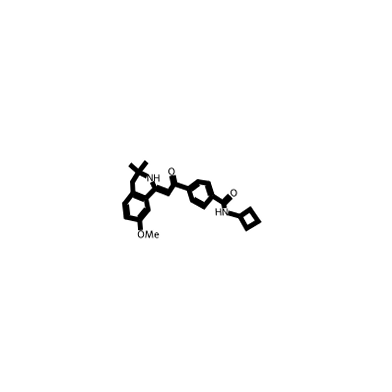 COc1ccc2c(c1)/C(=C/C(=O)c1ccc(C(=O)NC3CCC3)cc1)NC(C)(C)C2